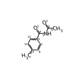 CC(=O)NC(=O)c1ccc(C)cc1